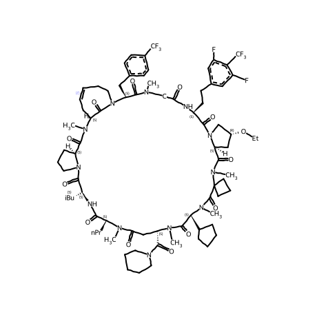 CCC[C@H]1C(=O)N[C@@H]([C@@H](C)CC)C(=O)N2CCC[C@H]2C(=O)N(C)[C@H]2C/C=C\CCN(C2=O)[C@@H](Cc2ccc(C(F)(F)F)cc2)C(=O)N(C)CC(=O)N[C@@H](CCc2cc(F)c(C(F)(F)F)c(F)c2)C(=O)N2C[C@H](OCC)C[C@H]2C(=O)N(C)C2(CCC2)C(=O)N(C)[C@@H](C2CCCC2)C(=O)N(C)[C@H](C(=O)N2CCCCC2)CC(=O)N1C